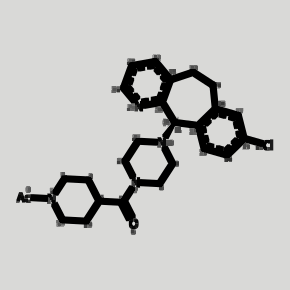 CC(=O)N1CCC(C(=O)N2CCN([C@@H]3c4ccc(Cl)cc4CCc4cccnc43)CC2)CC1